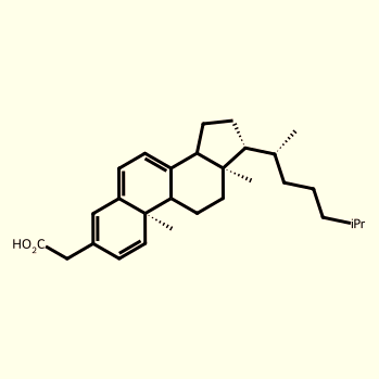 CC(C)CCC[C@@H](C)[C@H]1CCC2C3=CC=C4C=C(CC(=O)O)C=C[C@]4(C)C3CC[C@@]21C